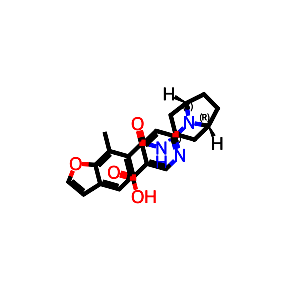 Cc1c(C(=O)N[C@H]2C[C@H]3CC[C@@H](C2)N3c2ccc(C(=O)O)cn2)ccc2ccoc12